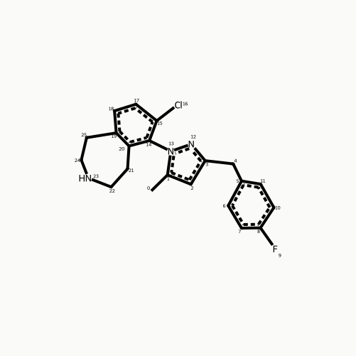 Cc1cc(Cc2ccc(F)cc2)nn1-c1c(Cl)ccc2c1CCNCC2